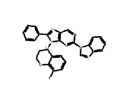 Fc1cccc2c1OCC[C@H]2n1c(-c2ccccc2)nc2cnc(-n3cnc4ccccc43)nc21